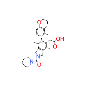 Cc1c(-c2c(C)c3c(c(C)c2CC(=O)O)CN(C(=O)N2CCCCC2)C3)ccc2c1CCCO2